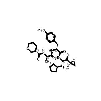 COc1ccc(C[C@H](NC(=O)[C@@H](C)NC(=O)[C@H]2CCCOC2)C(=O)N[C@@H](CC2CCCC2)C(=O)[C@]2(C)CO2)cc1